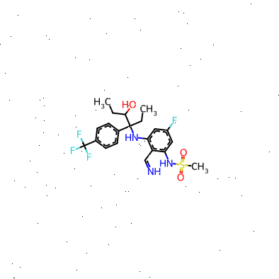 CCC(O)C(CC)(Nc1cc(F)cc(NS(C)(=O)=O)c1C=N)c1ccc(C(F)(F)F)cc1